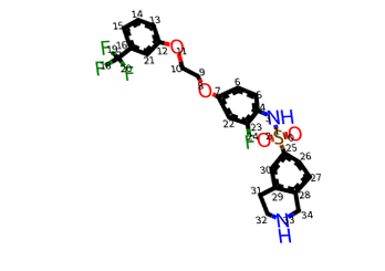 O=S(=O)(Nc1ccc(OCCOc2cccc(C(F)(F)F)c2)cc1F)c1ccc2c(c1)CCNC2